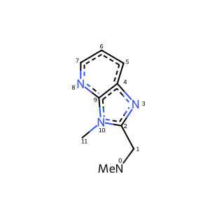 CNCc1nc2cccnc2n1C